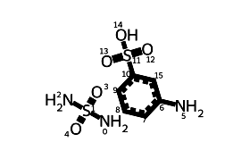 NS(N)(=O)=O.Nc1cccc(S(=O)(=O)O)c1